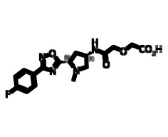 CN1C[C@@H](NC(=O)COCC(=O)O)C[C@H]1c1nc(-c2ccc(F)cc2)no1